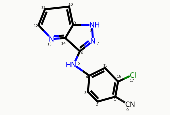 N#Cc1ccc(Nc2n[nH]c3cccnc23)cc1Cl